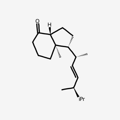 CC(C)[C@@H](C)/C=C/[C@@H](C)[C@H]1CC[C@H]2C(=O)CCC[C@]12C